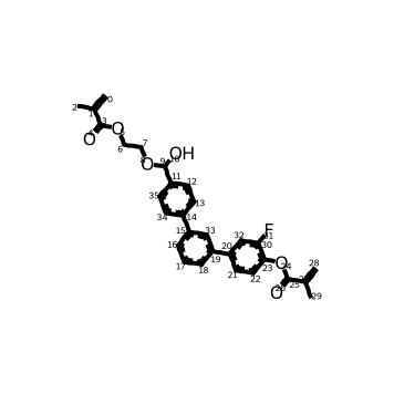 C=C(C)C(=O)OCCOC(O)c1ccc(-c2cccc(-c3ccc(OC(=O)C(=C)C)c(F)c3)c2)cc1